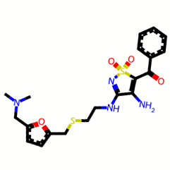 CN(C)Cc1ccc(CSCCNC2=NS(=O)(=O)C(C(=O)c3ccccc3)=C2N)o1